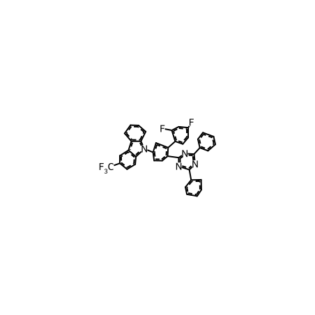 Fc1ccc(-c2cc(-n3c4ccccc4c4cc(C(F)(F)F)ccc43)ccc2-c2nc(-c3ccccc3)nc(-c3ccccc3)n2)c(F)c1